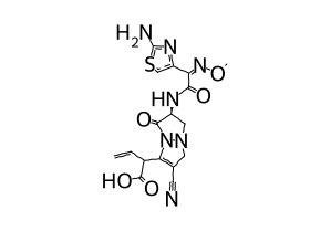 C=CC(C(=O)O)C1=C(C#N)CN2C[C@H](NC(=O)/C(=N\OC)c3csc(N)n3)C(=O)N12